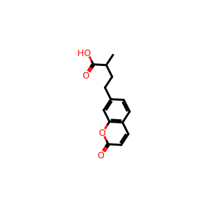 CC(CCc1ccc2ccc(=O)oc2c1)C(=O)O